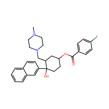 CN1CCN(CC2CC(OC(=O)c3ccc(F)cc3)CCC2(O)c2ccc3ccccc3c2)CC1